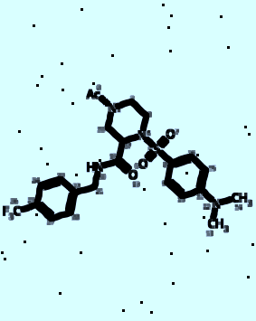 CC(=O)N1CCN(S(=O)(=O)c2ccc(N(C)C)cc2)C(C(=O)NCc2ccc(C(F)(F)F)cc2)C1